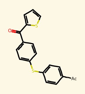 CC(=O)c1ccc(Sc2ccc(C(=O)c3cccs3)cc2)cc1